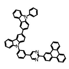 c1ccc(-n2c3ccccc3c3cc(-c4ccc5c(c4)c4ccccc4n5-c4cccc(-c5cnc(-c6ccc7c8ccccc8c8ccccc8c7c6)nc5)c4)ccc32)cc1